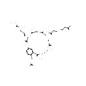 CC(C)C(=O)CCOCCC(=O)N[C@H]1CCC(=O)NCCNC(=O)c2cc(ccc2COC(=O)C(C)C)NC(=O)[C@H](CCCNC(N)=O)NC(=O)[C@H](C(C)C)NC1=O